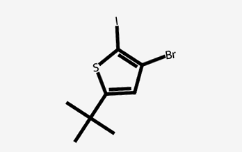 CC(C)(C)c1cc(Br)c(I)s1